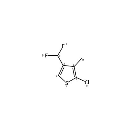 Cc1c(C(F)F)csc1Cl